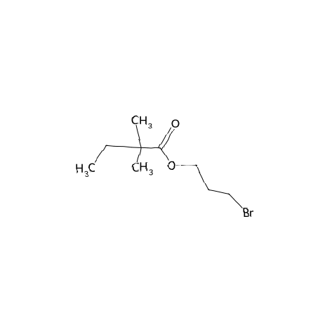 CCC(C)(C)C(=O)OCCCBr